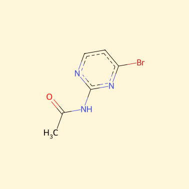 CC(=O)Nc1nccc(Br)n1